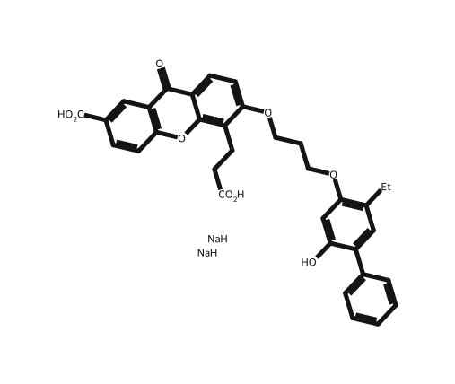 CCc1cc(-c2ccccc2)c(O)cc1OCCCOc1ccc2c(=O)c3cc(C(=O)O)ccc3oc2c1CCC(=O)O.[NaH].[NaH]